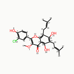 COc1c(-c2ccc(O)c(Cl)c2)oc2c(CC=C(C)C)c(O)c(CC=C(C)C)c(O)c2c1=O